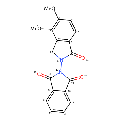 COc1ccc2c(c1OC)CN(N1C(=O)c3ccccc3C1=O)C2=O